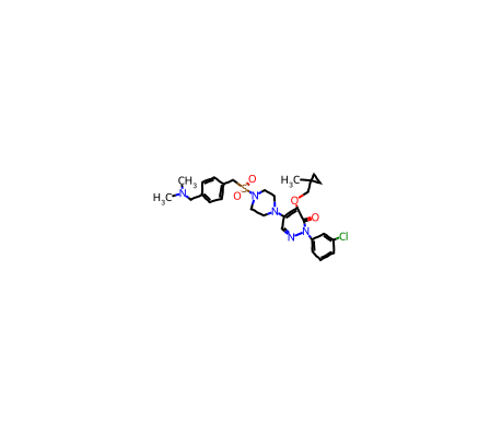 CN(C)Cc1ccc(CS(=O)(=O)N2CCN(c3cnn(-c4cccc(Cl)c4)c(=O)c3OCC3(C)CC3)CC2)cc1